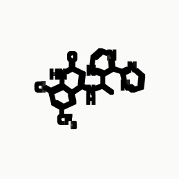 CC(Nc1cc(=O)[nH]c2c(Cl)cc(C(F)(F)F)cc12)c1nccnc1-c1ncccn1